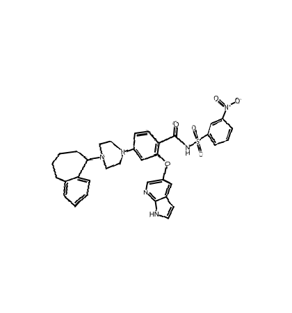 O=C(NS(=O)(=O)c1cccc([N+](=O)[O-])c1)c1ccc(N2CCN(C3CCCCc4ccccc43)CC2)cc1Oc1cnc2[nH]ccc2c1